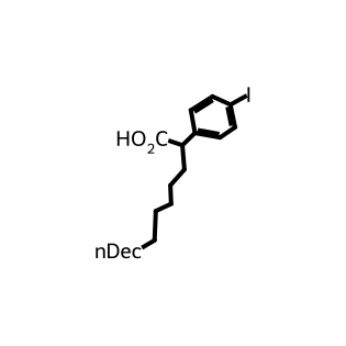 CCCCCCCCCCCCCCCC(C(=O)O)c1ccc(I)cc1